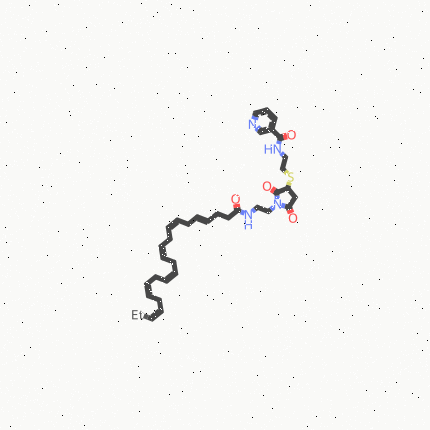 CC/C=C\C/C=C\C/C=C\C/C=C\C/C=C\CC=CCCC(=O)NCCN1C(=O)CC(SCCNC(=O)c2cccnc2)C1=O